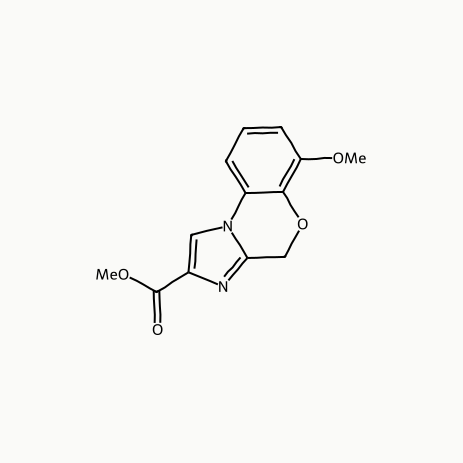 COC(=O)c1cn2c(n1)COc1c(OC)cccc1-2